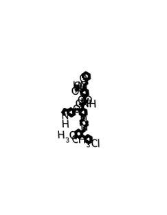 CC1(C)CCC(CN2CCN(c3ccc(C(=O)NS(=O)(=O)c4ccc(NCC5CCCCO5)c([N+](=O)[O-])c4)c(Oc4ccc5[nH]ccc5c4)c3)CC2)=C(c2ccc(Cl)cc2)C1